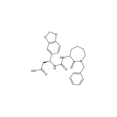 O=C(O)C[C@H](NC(=O)NC1CCCCN(Cc2ccccc2)C1=O)c1ccc2c(c1)OCO2